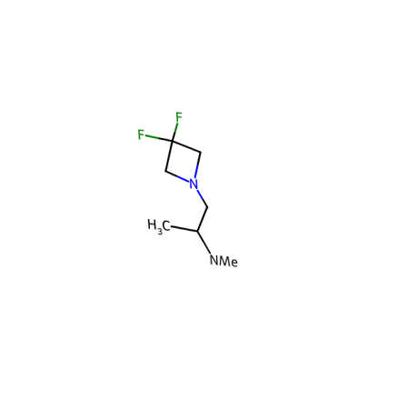 CNC(C)CN1CC(F)(F)C1